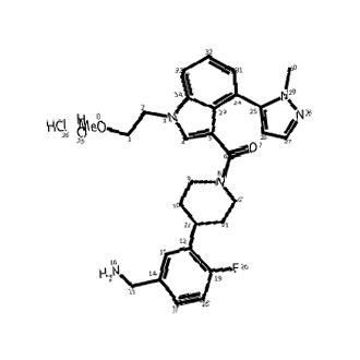 COCCn1cc(C(=O)N2CCC(c3cc(CN)ccc3F)CC2)c2c(-c3ccnn3C)cccc21.Cl.Cl